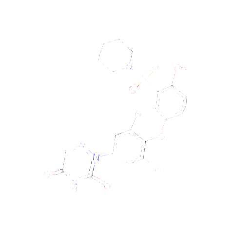 O=c1cnn(-c2cc(Br)c(Oc3ccc(O)c(S(=O)(=O)N4CCCCC4)c3)c(Br)c2)c(=O)[nH]1